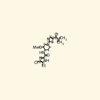 CCc1[nH]c(C(=O)NC2CCN(c3ncc(C(=O)N(C)C)s3)C[C@@H]2OC)nc1Cl